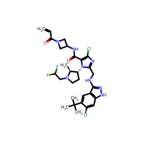 C=CC(=O)N1CC(NC(=O)c2c(Cl)nc(CNc3n[nH]c4cc(Cl)c(C(C)(C)C)cc34)n2[C@@H]2CCN(CC(F)F)[C@H]2C)C1